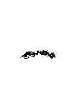 CN(CCSc1scc[n+]1C)c1ccc(/C=C/c2cc[n+](C)cc2)cc1